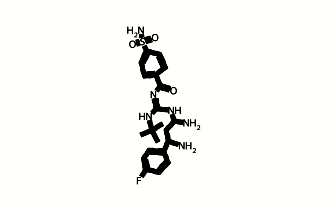 CC(C)(C)N/C(=N/C(=O)c1ccc(S(N)(=O)=O)cc1)NC(N)CC(N)c1ccc(F)cc1